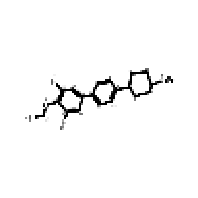 CCCC1CCC(c2ccc(-c3cc(F)c(OCF)c(F)c3)cc2)CC1